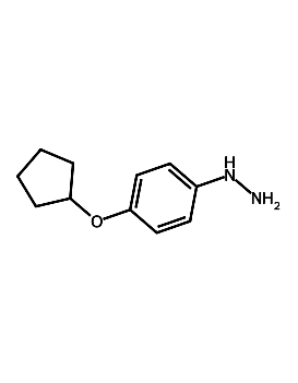 NNc1ccc(OC2CCCC2)cc1